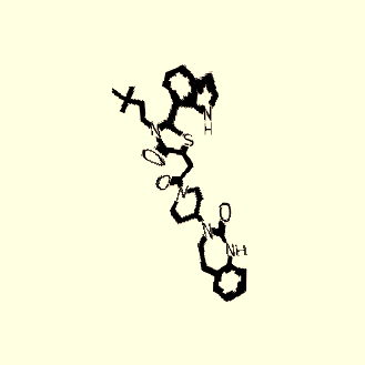 CC(C)(C)CCN1C(=O)C(CC(=O)N2CCC(N3CCc4ccccc4NC3=O)CC2)SC1c1cccc2cc[nH]c12